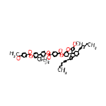 CCCCC#Cc1ccc2c(c1)C1(c3ccc(OC)cc3Oc3cc(OC(=O)c4ccc(C(=O)Oc5ccc(-c6ccc(OC(=O)c7ccc(C(C)=O)cc7)cc6C)c(C)c5)cc4)ccc31)c1cc(C#CCCCC)ccc1-2